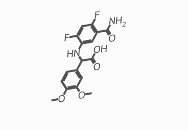 COc1ccc(C(Nc2cc(C(N)=O)c(F)cc2F)C(=O)O)cc1OC